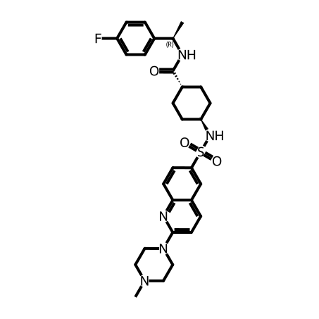 C[C@@H](NC(=O)[C@H]1CC[C@H](NS(=O)(=O)c2ccc3nc(N4CCN(C)CC4)ccc3c2)CC1)c1ccc(F)cc1